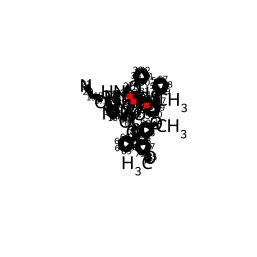 COc1ccc(C(OC[C@H]2O[C@@H](n3cnc4c(OCCC#N)nc(NC(=O)COc5ccccc5)nc43)C(OC)[C@H]2O[P@]2O[C@@H](C[Si](C)(c3ccccc3)c3ccccc3)[C@H]3CCCN32)(c2ccccc2)c2ccc(OC)cc2)cc1